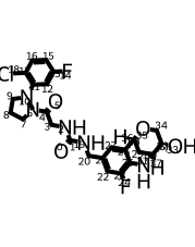 O=C(NCC(=O)N1CCCN1c1cc(F)ccc1Cl)NCc1cc(F)c2c(c1)[C@H]1C[C@@H](N2)[C@H](O)CO1